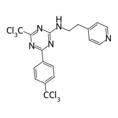 ClC(Cl)(Cl)c1ccc(-c2nc(NCCc3ccncc3)nc(C(Cl)(Cl)Cl)n2)cc1